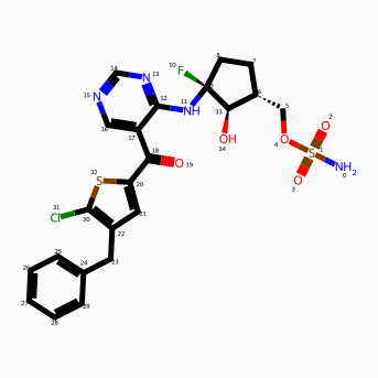 NS(=O)(=O)OC[C@H]1CC[C@@](F)(Nc2ncncc2C(=O)c2cc(Cc3ccccc3)c(Cl)s2)[C@@H]1O